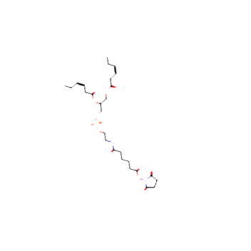 CC/C=C\CC(=O)OCC(COP(=O)(O)OCCNC(=O)CCCCC(=O)ON1C(=O)CCC1=O)OC(=O)C/C=C\CC